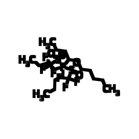 CCCCCCC(CCC)P(CCCC)(CCCC)(S(=O)(=O)C(F)(F)F)S(=O)(=O)C(F)(F)F